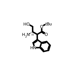 CC(C)(C)OC(=O)C(c1c[nH]c2ccccc12)[C@H](N)CO